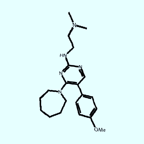 COc1ccc(-c2cnc(NCCN(C)C)nc2N2CCCCCC2)cc1